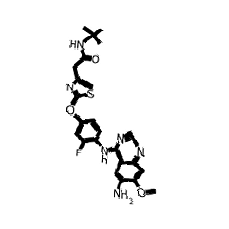 COc1cc2ncnc(Nc3ccc(Oc4nc(CC(=O)NC(C)(C)C)cs4)cc3F)c2cc1N